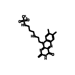 C=c1nc2c(c(=O)[nH]1)=Nc1cc(C)c(C)cc1N2CCNCCCNS(=O)(=O)C(F)(F)F